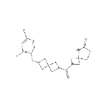 O=C1NC2(CO1)CN(C(=O)N1CC3(CC(Cc4ccc(F)cc4F)C3)C1)C2